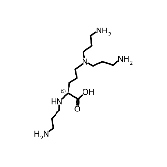 NCCCN[C@@H](CCCN(CCCN)CCCN)C(=O)O